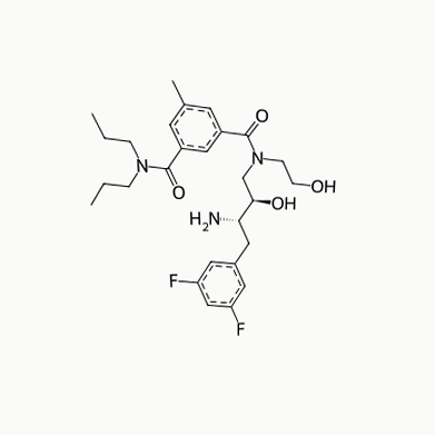 CCCN(CCC)C(=O)c1cc(C)cc(C(=O)N(CCO)C[C@@H](O)[C@@H](N)Cc2cc(F)cc(F)c2)c1